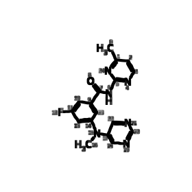 Cc1ccnc(NC(=O)c2cc(F)cc(N(C)c3cncnc3)c2)n1